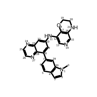 Cn1ccc2ccc(-c3cc(Nc4cncc5c4OCCN5)cc4nccnc34)cc21